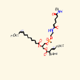 CCCCCCCC/C=C\CCCCCCCC(=O)O[C@H](COC(=O)C(/C=C/CCCCCCCC)CCCCCC)COP(C)(=O)OCCNC(=O)CCCCC(=O)NCC